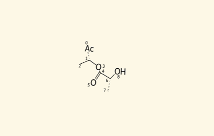 CC(=O)[C@@H](C)OC(=O)[C@@H](C)O